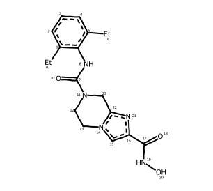 CCc1cccc(CC)c1NC(=O)N1CCn2cc(C(=O)NO)nc2C1